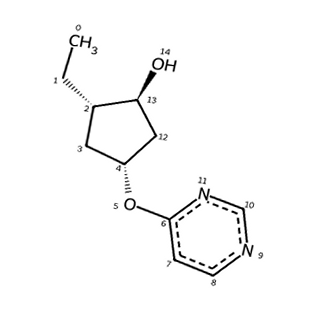 CC[C@H]1C[C@@H](Oc2ccncn2)C[C@@H]1O